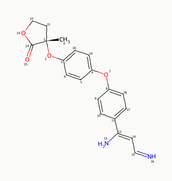 C[C@]1(Oc2ccc(Oc3ccc(/C(N)=C/C=N)cc3)cc2)CCOC1=O